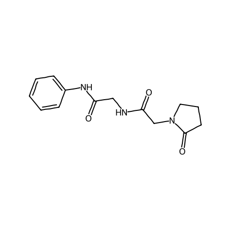 O=C(CN1CCCC1=O)NCC(=O)Nc1ccccc1